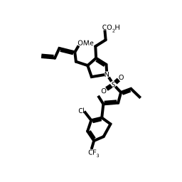 C=C/C=C(\CC1CN(S(=O)(=O)C(/C=C(\C)C2=C(Cl)C=C(C(F)(F)F)CC2)=C/C)C=C1CCC(=O)O)OC